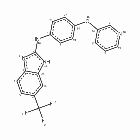 FC(F)(F)c1ccc2nc(Nc3ccc(Oc4cccnc4)cc3)[nH]c2c1